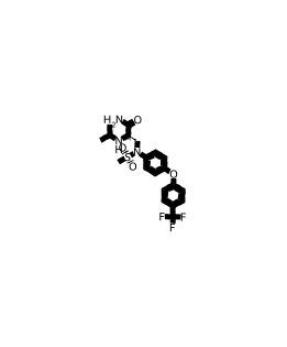 CC(C)N[C@@H](CN(c1ccc(Oc2ccc(C(F)(F)F)cc2)cc1)S(C)(=O)=O)C(N)=O